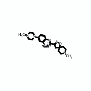 CN/C(=N\c1ccc(N2CCN(C)CC2)cc1C=O)C1=NOC2(CCN(C)CC2)C1